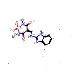 CCN1C(=O)C(=CNc2nc3ccccc3[nH]2)C(=O)N(CC)S1(=O)=O